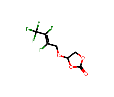 O=C1OCC(OCC(F)=C(F)C(F)(F)F)O1